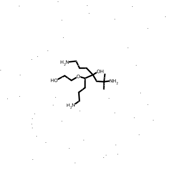 CC(C)(N)CC(O)(CCCN)C(CCCN)OCCO